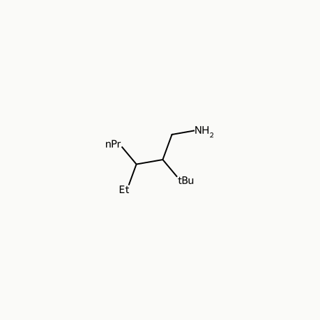 CCCC(CC)C(CN)C(C)(C)C